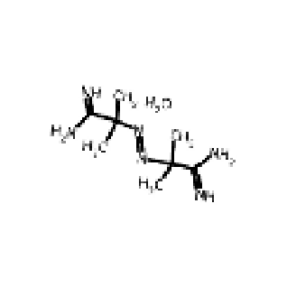 CC(C)(N=NC(C)(C)C(=N)N)C(=N)N.O